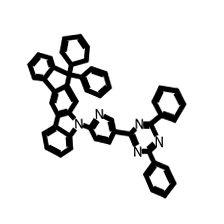 C1=CCC(C2(c3ccccc3)c3ccccc3-c3cc4c5ccccc5n(-c5ccc(-c6nc(-c7ccccc7)nc(-c7ccccc7)n6)cn5)c4cc32)C=C1